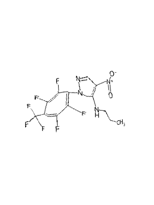 CCCNc1c([N+](=O)[O-])cnn1-c1c(F)c(F)c(C(F)(F)F)c(F)c1F